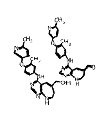 Cc1ccc(Oc2ccc(Nc3ncnc4c3C=C(C=O)CCN4)cc2C)cn1.Cc1ccc(Oc2ccc(Nc3ncnc4c3C=C(CO)CCN4)cc2C)cn1